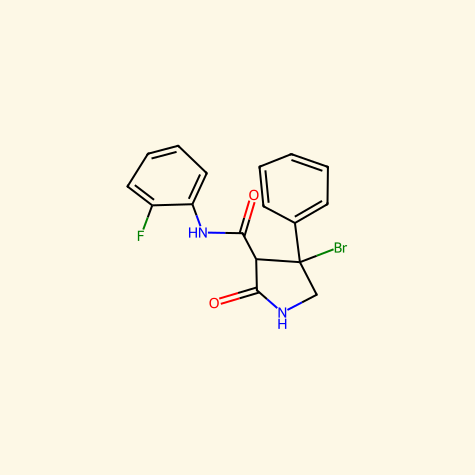 O=C1NCC(Br)(c2ccccc2)C1C(=O)Nc1ccccc1F